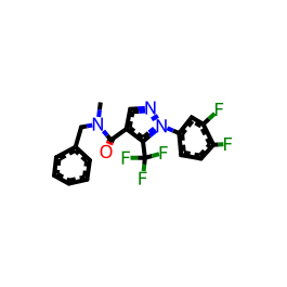 CN(Cc1ccccc1)C(=O)c1cnn(-c2ccc(F)c(F)c2)c1C(F)(F)F